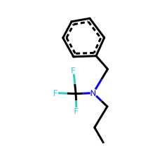 CCCN(Cc1ccccc1)C(F)(F)F